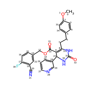 COc1ccc(CCC2=C(C(=O)OCc3ccc(F)c(C#N)c3)C(c3cccnc3)NC(=O)N2)cc1